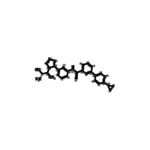 C[C@H](O)[C@H](C)n1cnnc1-c1cccc(NC(=O)c2cc(-c3ccc(C4CC4)nc3)ccn2)n1